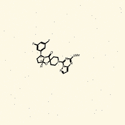 CSc1nc(N2CCC3(CC2)O[C@@H]2CC[C@@H](c4cc(F)cc(F)c4)N2C3=O)n2nccc2n1